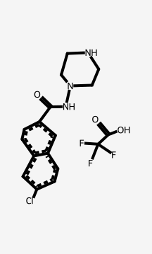 O=C(NN1CCNCC1)c1ccc2cc(Cl)ccc2c1.O=C(O)C(F)(F)F